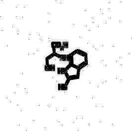 N[C@@H](CO)C(=O)O.Sc1cc2ccccc2[nH]1